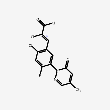 O=C(Cl)/C(Cl)=C/c1cc(-n2ncc(C(F)(F)F)cc2=O)c(F)cc1Cl